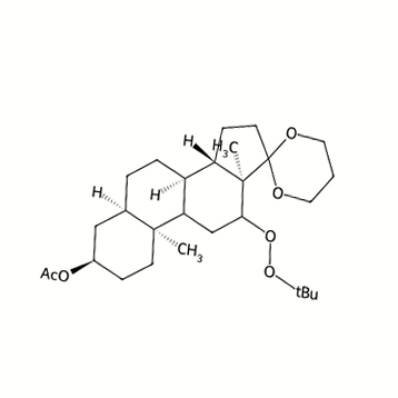 CC(=O)O[C@@H]1CC[C@]2(C)C3CC(OOC(C)(C)C)[C@@]4(C)[C@@H](CCC45OCCCO5)[C@@H]3CC[C@@H]2C1